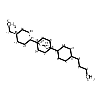 CCCCC1CCC(C23CCC([C@H]4CC[C@H](CC)CC4)(CC2)CC3)CC1